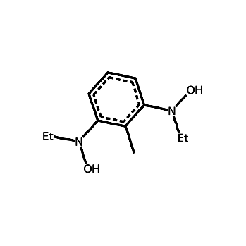 CCN(O)c1cccc(N(O)CC)c1C